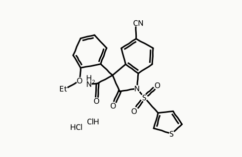 CCOc1ccccc1C1(C(N)=O)C(=O)N(S(=O)(=O)c2ccsc2)c2ccc(C#N)cc21.Cl.Cl